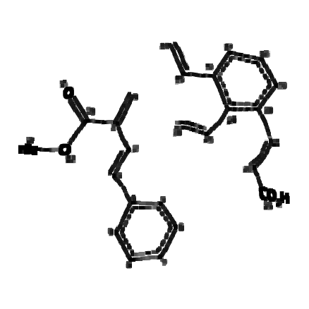 C=C(C=Cc1ccccc1)C(=O)OCCCC.C=Cc1cccc(C=CC(=O)O)c1C=C